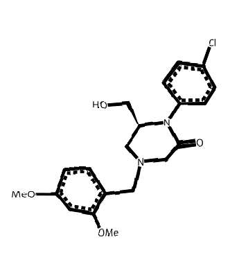 COc1ccc(CN2CC(=O)N(c3ccc(Cl)cc3)[C@H](CO)C2)c(OC)c1